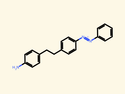 Nc1ccc(CCc2ccc(/N=N/c3ccccc3)cc2)cc1